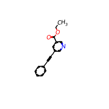 CCOC(=O)c1cncc(C#Cc2ccccc2)c1